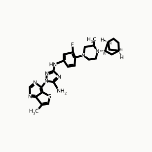 Cc1csc2c(-n3nc(Nc4ccc(N5CCN([C@H]6C[C@@H]7CC[C@H]6C7)C(C)C5)c(F)c4)nc3N)ncnc12